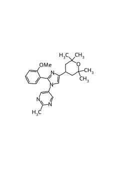 COc1ccccc1-c1nc(C2CC(C)(C)OC(C)(C)C2)cn1-c1cnc(C)nc1